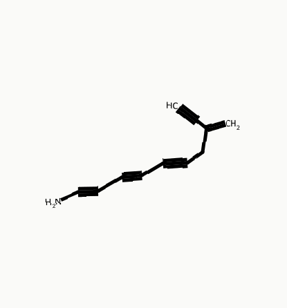 C#CC(=C)CC#CC#CC#CN